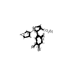 CCOC(=O)c1cnn([C@@H]2CCOC2)c1-c1cc(F)c(Br)cc1F